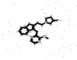 COc1nccnc1CC1=C(CCN2CCC(F)C2)Cc2ccccc21